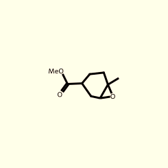 COC(=O)C1CCC2(C)OC2C1